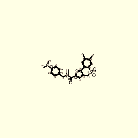 Cc1cc2c(cc1C)S(=O)(=O)Cc1cc(C(=O)NCc3ccc(N(C)C)cc3)sc1-2